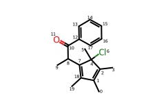 CC1=C(C)C(C)(Cl)C(C(C)C(=O)c2ccccc2)=C1C